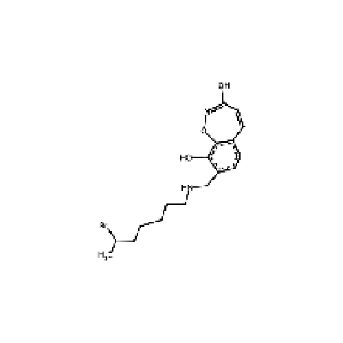 CC(Br)CCCCCNCc1ccc2c(c1O)ON=C(O)C=C2